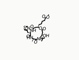 COC(=O)CCCC[C@@H]1CC(=O)N[C@H](Cc2cscn2)C(=O)N[C@H](C)C(=O)N[C@H](C(C)C)[C@@H](O)CC(=O)O1